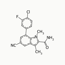 Cc1c(C(N)=O)n(C)c2c(-c3ccc(Cl)c(F)c3)cc(C#N)cc12